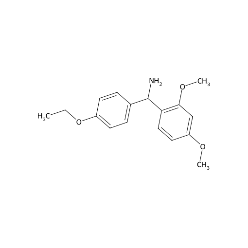 CCOc1ccc(C(N)c2ccc(OC)cc2OC)cc1